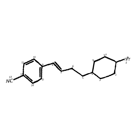 CCCC1CCC(CCC=Cc2ccc(C#N)cc2)CC1